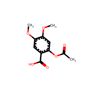 COc1cc(OC(C)=O)c(C(=O)O)cc1OC